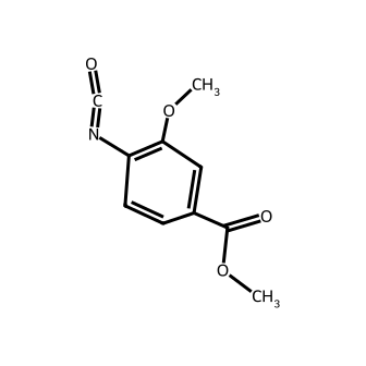 COC(=O)c1ccc(N=C=O)c(OC)c1